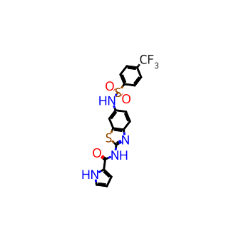 O=C(Nc1nc2ccc(NS(=O)(=O)c3ccc(C(F)(F)F)cc3)cc2s1)c1ccc[nH]1